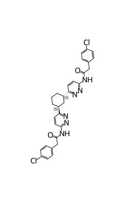 O=C(Cc1ccc(Cl)cc1)Nc1ccc([C@H]2CCC[C@H](c3ccc(NC(=O)Cc4ccc(Cl)cc4)nn3)C2)nn1